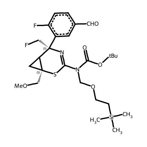 COC[C@]12CC1[C@@](CF)(c1cc(C=O)ccc1F)N=C(N(COCC[Si](C)(C)C)C(=O)OC(C)(C)C)S2